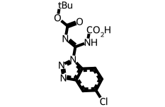 CC(C)(C)OC(=O)/N=C(\NC(=O)O)n1nnc2cc(Cl)ccc21